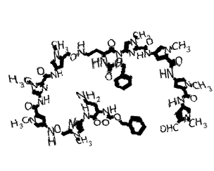 Cn1cc(NC(=O)c2cc(NC(=O)c3cc(NC(=O)c4nc(NC(=O)C(CCNOCc5cc(NC(=O)c6nc(NC(=O)c7cc(NOCc8nc(NC(=O)C(CCN)NC(=O)OCc9ccccc9)cn8C)cn7C)cn6C)cn5C)NC(=O)OCc5ccccc5)cn4C)cn3C)cn2C)cc1C=O